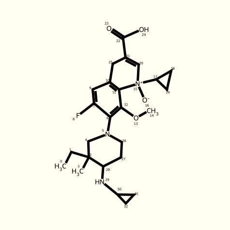 CCC1(C)CN(c2c(F)cc3c(c2OC)[N+]([O-])(C2CC2)C=C(C(=O)O)C3)CCC1NC1CC1